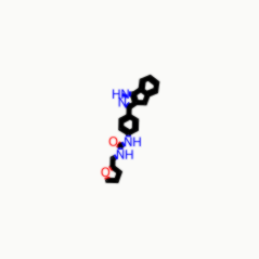 O=C(NCC1CCCO1)Nc1ccc(-c2n[nH]c3c2Cc2ccccc2-3)cc1